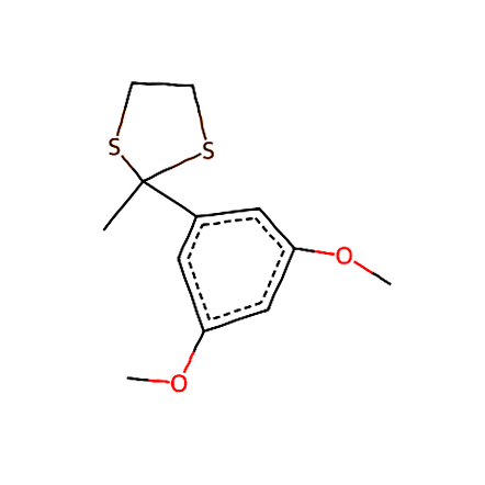 COc1cc(OC)cc(C2(C)SCCS2)c1